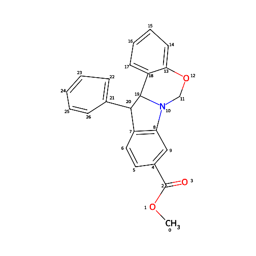 COC(=O)c1ccc2c(c1)N1COc3ccccc3C1C2c1ccccc1